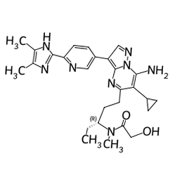 CC[C@H](CCc1nc2c(-c3ccc(-c4nc(C)c(C)[nH]4)nc3)cnn2c(N)c1C1CC1)N(C)C(=O)CO